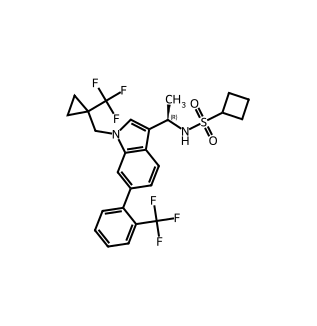 C[C@@H](NS(=O)(=O)C1CCC1)c1cn(CC2(C(F)(F)F)CC2)c2cc(-c3ccccc3C(F)(F)F)ccc12